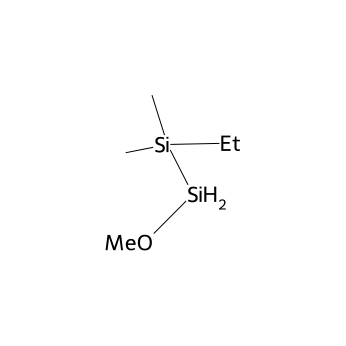 CC[Si](C)(C)[SiH2]OC